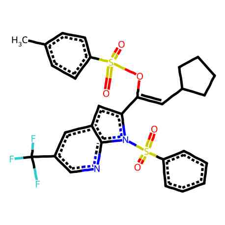 Cc1ccc(S(=O)(=O)OC(=CC2CCCC2)c2cc3cc(C(F)(F)F)cnc3n2S(=O)(=O)c2ccccc2)cc1